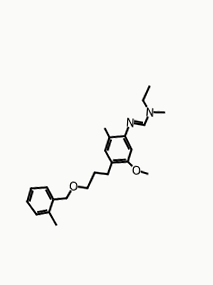 CCN(C)/C=N/c1cc(OC)c(CCCOCc2ccccc2C)cc1C